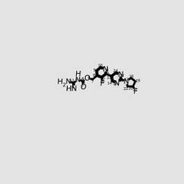 N=C(N)NC(=O)OCc1ccnc(-c2cnc(N3CCC(F)C3)nc2)c1F